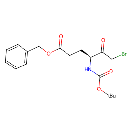 CC(C)(C)OC(=O)N[C@@H](CCC(=O)OCc1ccccc1)C(=O)CBr